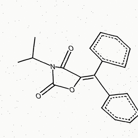 CC(C)N1C(=O)OC(=C(c2ccccc2)c2ccccc2)C1=O